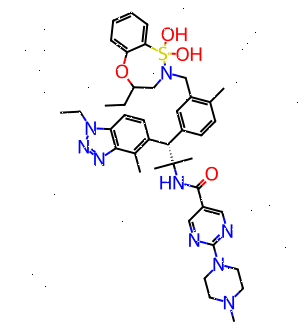 CCC1CN(Cc2cc([C@@H](c3ccc4c(nnn4CC)c3C)C(C)(C)NC(=O)c3cnc(N4CCN(C)CC4)nc3)ccc2C)S(O)(O)c2ccccc2O1